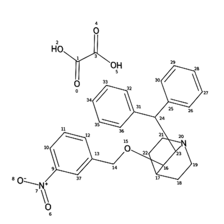 O=C(O)C(=O)O.O=[N+]([O-])c1cccc(COC2C3CCN(CC3)C2C(c2ccccc2)c2ccccc2)c1